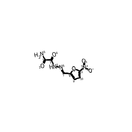 NC(=O)C(=O)N/N=C/c1ccc([N+](=O)[O-])o1